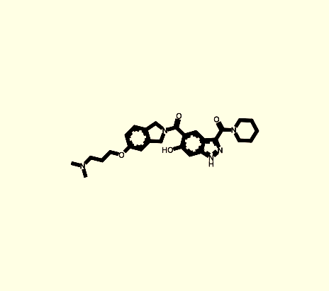 CN(C)CCCOc1ccc2c(c1)CN(C(=O)c1cc3c(C(=O)N4CCCCC4)n[nH]c3cc1O)C2